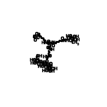 C[C@@H]1O[C@@H](OCCNC(=O)CCCCCNC(=O)CN(CC(=O)NCCCCCC(=O)ON2C(=O)CCC2=O)CC(=O)NCCCC(=O)NCCO[C@H]2O[C@H](CO[C@H]3C[C@H](CO)[C@@H](O)[C@H](O)[C@@H]3O)[C@@H](O)[C@H](O[C@H]3O[C@H](CO)[C@@H](O)[C@H](O)[C@@H]3O)[C@@H]2O)[C@@H](O)[C@H](O)[C@@H]1O